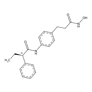 CC[C@@H](C(=O)Nc1ccc(CCC(=O)NO)cc1)c1ccccc1